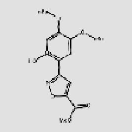 CCCCOc1cc(-c2cc(C(=O)OC)on2)[n+](O)cc1OCCCC